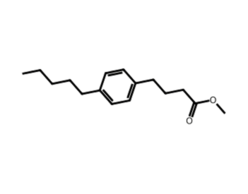 CCCCCc1ccc(CCCC(=O)OC)cc1